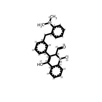 CN(C)c1ccccc1Cc1cccc(C2=C(O)c3ccccc3N(Cl)C2C=O)c1